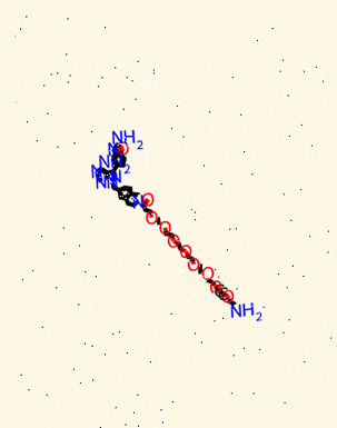 NCCOCCOCCOCCOCCOCCOCCOCCOCCC(=O)N1CCc2cc(Cn3nc(-c4ccc5oc(N)nc5c4)c4c(N)ncnc43)ccc2C1